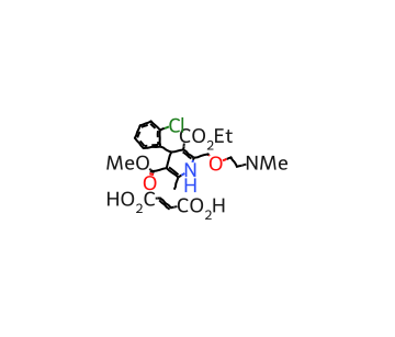 CCOC(=O)C1=C(COCCNC)NC(C)=C(C(=O)OC)C1c1ccccc1Cl.O=C(O)C=CC(=O)O